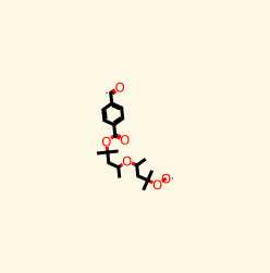 CC(CC(C)(C)O[O])OC(C)CC(C)(C)OC(=O)c1ccc([C]=O)cc1